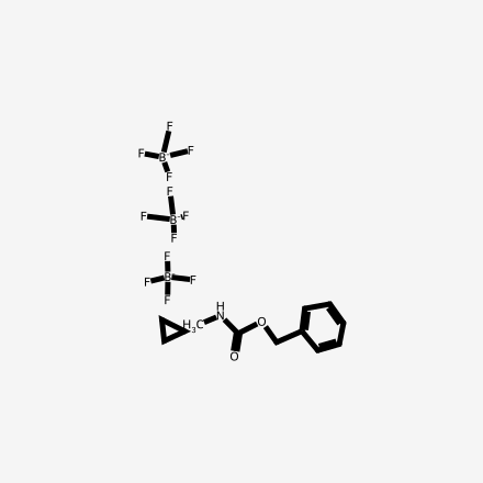 C1CC1.CNC(=O)OCc1ccccc1.F[B-](F)(F)F.F[B-](F)(F)F.F[B-](F)(F)F